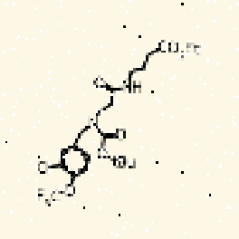 CCOC(=O)CCCNC(=O)CCN(Cc1ccc(OC(F)(F)F)c(Cl)c1)C(=O)OC(C)(C)C